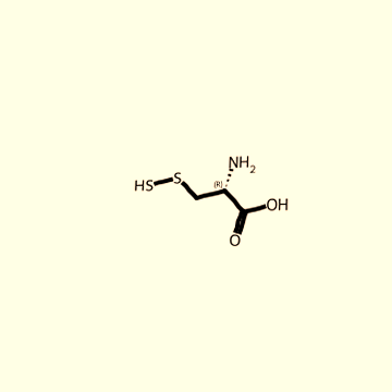 N[C@@H](CSS)C(=O)O